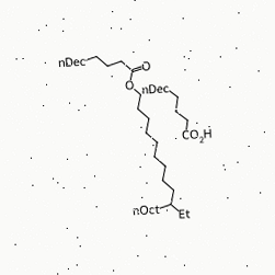 CCCCCCCCCCCCCC(=O)O.CCCCCCCCCCCCCC(=O)OCCCCCCCCCC(CC)CCCCCCCC